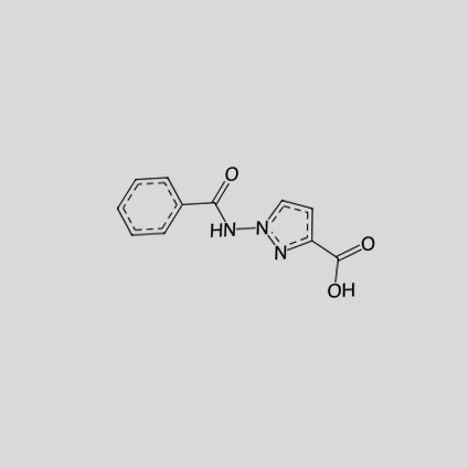 O=C(Nn1ccc(C(=O)O)n1)c1ccccc1